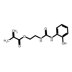 C=C(C)C(=O)OCCNC(=O)Nc1ccccc1O